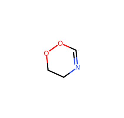 [C]1=NCCOO1